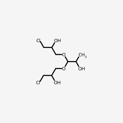 CC(O)C(OCC(O)CCl)OCC(O)CCl